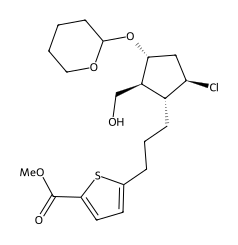 COC(=O)c1ccc(CCC[C@@H]2[C@@H](CO)[C@H](OC3CCCCO3)C[C@H]2Cl)s1